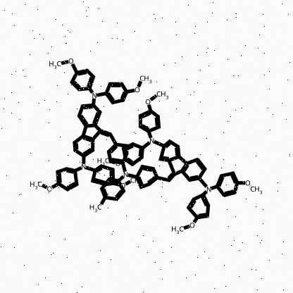 COc1ccc(N(c2ccc(OC)cc2)c2ccc3c(c2)C(=Cc2ccc(N(c4ccc(C)cc4)c4ccc(C=C5c6cc(N(c7ccc(OC)cc7)c7ccc(OC)cc7)ccc6-c6ccc(N(c7ccc(OC)cc7)c7ccc(OC)cc7)cc65)cc4)cc2)c2cc(N(c4ccc(OC)cc4)c4ccc(OC)cc4)ccc2-3)cc1